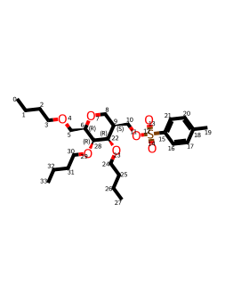 CCCCOC[C@H]1OC[C@@H](COS(=O)(=O)c2ccc(C)cc2)[C@@H](OCCCC)[C@H]1OCCCC